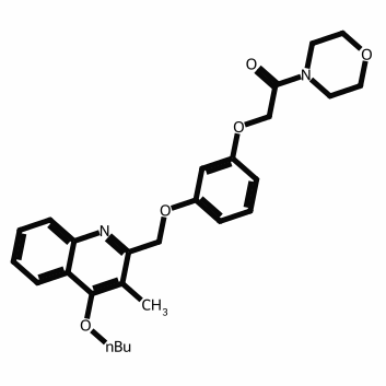 CCCCOc1c(C)c(COc2cccc(OCC(=O)N3CCOCC3)c2)nc2ccccc12